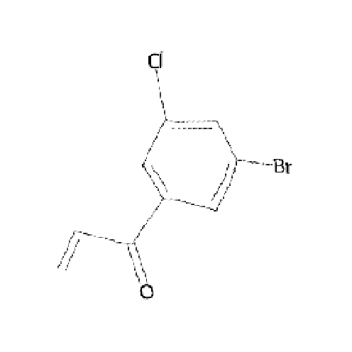 C=CC(=O)c1cc(Cl)cc(Br)c1